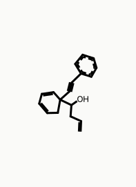 C=CCC(O)C1(C#Cc2ccccc2)C=CC=CC1